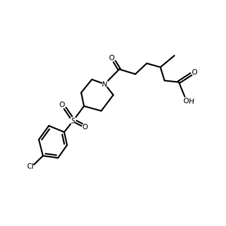 CC(CCC(=O)N1CCC(S(=O)(=O)c2ccc(Cl)cc2)CC1)CC(=O)O